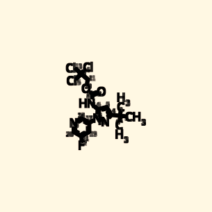 CC(C)(C)c1cc(NC(=O)OCC(Cl)(Cl)Cl)n(-c2cncc(F)c2)n1